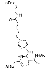 CCCCCCCCCCCCNC(=O)CCCOc1ccc(NC(NC(=O)CSC)C(=O)N(CC)NC(C)=O)cc1